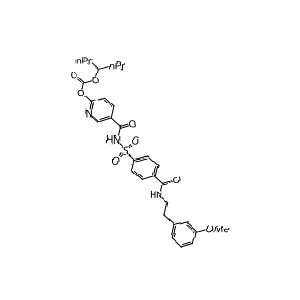 CCCC(CCC)OC(=O)Oc1ccc(C(=O)NS(=O)(=O)c2ccc(C(=O)NCCc3cccc(OC)c3)cc2)cn1